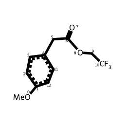 COc1ccc(CC(=O)OCC(F)(F)F)cc1